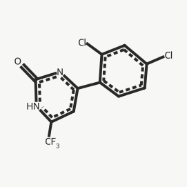 O=c1nc(-c2ccc(Cl)cc2Cl)cc(C(F)(F)F)[nH]1